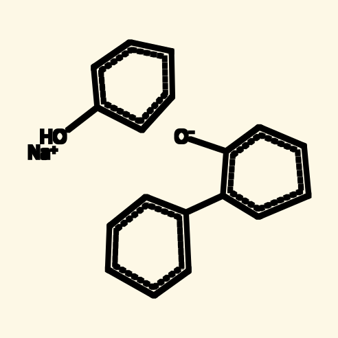 Oc1ccccc1.[Na+].[O-]c1ccccc1-c1ccccc1